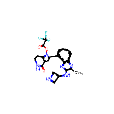 Cc1nc2cccc(-c3cc4c(n3OC(=O)C(F)(F)F)CCNC4=O)c2nc1NC1CNC1